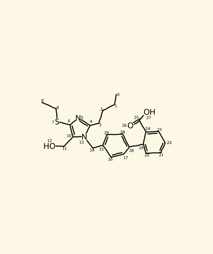 CCCCc1nc(SCC)c(CO)n1Cc1ccc(-c2ccccc2C(=O)O)cc1